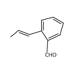 CC=Cc1ccccc1[C]=O